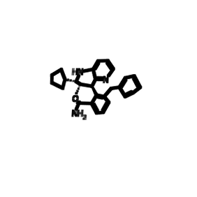 C[C@H]1[C@H](c2c(Cc3ccccc3)cccc2C(N)=O)c2ncccc2N[C@H]1C1CCCC1